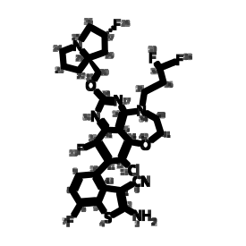 N#Cc1c(N)sc2c(F)ccc(-c3c(Cl)c4c5c(nc(OC[C@@]67CCCN6C[C@H](F)C7)nc5c3F)N(CCC(F)F)CCO4)c12